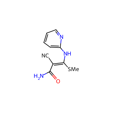 CSC(Nc1ccccn1)=C(C#N)C(N)=O